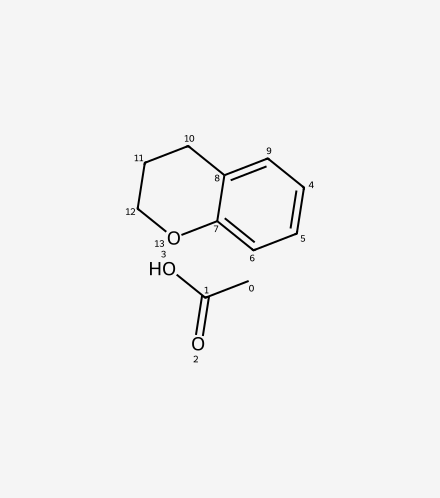 CC(=O)O.c1ccc2c(c1)CCCO2